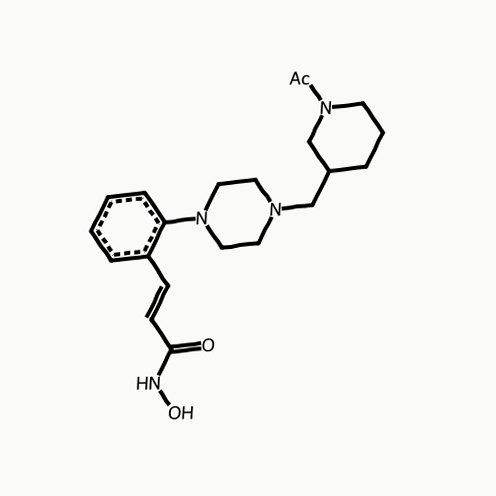 CC(=O)N1CCCC(CN2CCN(c3ccccc3C=CC(=O)NO)CC2)C1